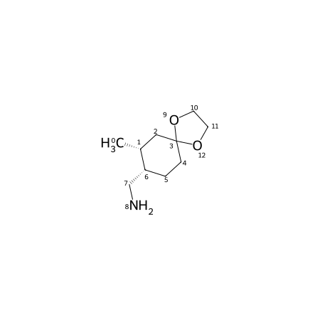 C[C@@H]1CC2(CC[C@@H]1CN)OCCO2